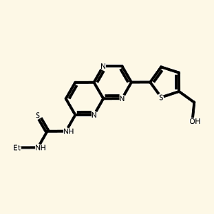 CCNC(=S)Nc1ccc2ncc(-c3ccc(CO)s3)nc2n1